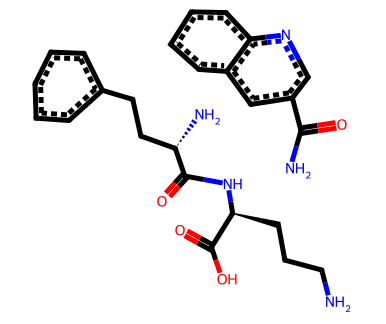 NC(=O)c1cnc2ccccc2c1.NCCC[C@H](NC(=O)[C@@H](N)CCc1ccccc1)C(=O)O